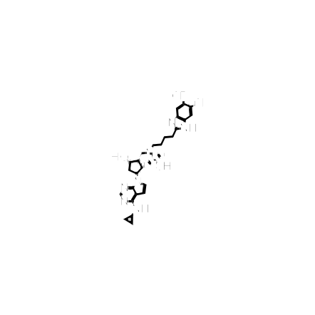 CS(=O)(=O)N(CCCCc1nc2cc(C(F)(F)F)c(Cl)cc2[nH]1)C[C@H]1C[C@@H](n2ccc3c(NC4CC4)ncnc32)C[C@@H]1O